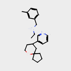 Cc1cccc(CNCC[C@@]2(c3cccnc3)CCOC3(CCCC3)C2)c1